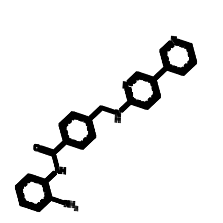 Nc1ccccc1NC(=O)c1ccc(CNc2ccc(-c3cccnc3)cn2)cc1